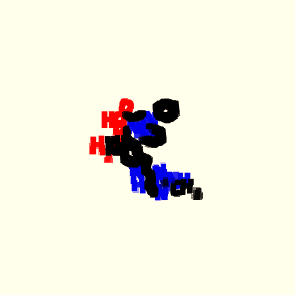 CNc1nccc(-c2cc3cc(C(=O)NC(CN(c4ccccc4)c4ccccn4)C(=O)O)ccc3[nH]2)n1.O.[KH]